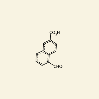 O=[C]c1cccc2cc(C(=O)O)ccc12